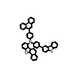 c1ccc2c(c1)cc(-c1ccc(N(c3ccc(-c4ccc5sc6ccccc6c5c4)cc3)c3cccc4oc5c6ccccc6ccc5c34)cc1)c1ccccc12